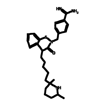 CC1CCCC(C)(CCCCCC2C(=O)N(Cc3ccc(C(=N)N)cc3)Sc3ccccc32)N1